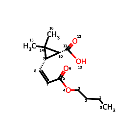 CCCCOC(=O)/C=C\[C@H]1[C@@H](C(=O)O)C1(C)C